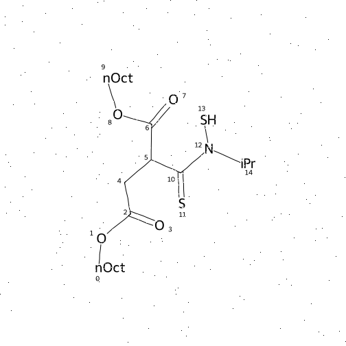 CCCCCCCCOC(=O)CC(C(=O)OCCCCCCCC)C(=S)N(S)C(C)C